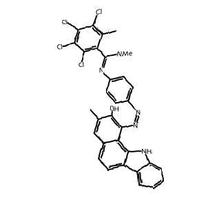 CN/C(=N\c1ccc(/N=N\c2c(O)c(C)cc3ccc4c5ccccc5[nH]c4c23)cc1)c1c(C)c(Cl)c(Cl)c(Cl)c1Cl